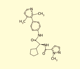 Cc1ccnc(C)c1-c1ccc(NC(=O)[C@@H](NC(=O)c2ccnn2C)C2CCCC2)cc1